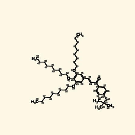 CCCCCCCCCOc1cc(C=CC(=O)c2ccc(SC(C)(C)C)cc2)cc(OCCCCCCCCC)c1OCCCCCCCCC